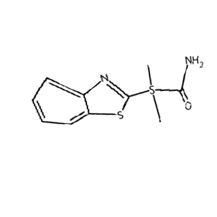 CS(C)(C(N)=O)c1nc2ccccc2s1